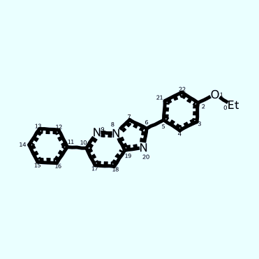 CCOc1ccc(-c2cn3nc(-c4ccccc4)ccc3n2)cc1